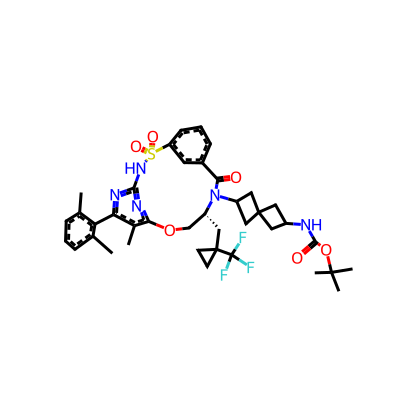 Cc1cccc(C)c1-c1nc2nc(c1C)OC[C@@H](CC1(C(F)(F)F)CC1)N(C1CC3(CC(NC(=O)OC(C)(C)C)C3)C1)C(=O)c1cccc(c1)S(=O)(=O)N2